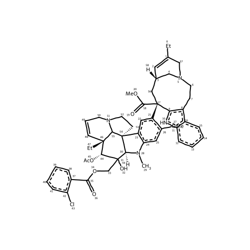 CCC1=C[C@@H]2CN(CCc3c([nH]c4ccccc34)[C@@](C(=O)OC)(c3cc4c(cc3OC)N(C)[C@H]3C(O)(COC(=O)c5ccccc5Cl)[C@H](OC(C)=O)[C@]5(CC)C=CCN6CC[C@]43C65)C2)C1